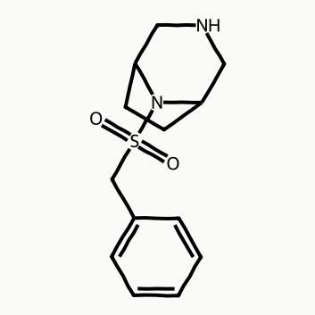 O=S(=O)(Cc1ccccc1)N1C2CCC1CNC2